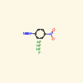 F.F.F.N#[N+]c1ccc([N+](=O)[O-])cc1.[F-]